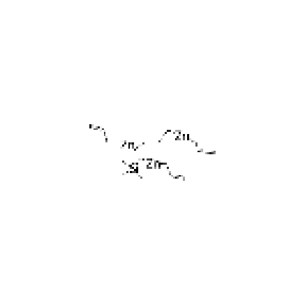 C=C[CH2][Zn][CH2]CC[CH2][Zn][CH2]C=C.C=C[CH2][Zn][CH2][Si](C)(C)C